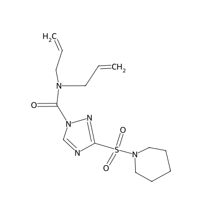 C=CCN(CC=C)C(=O)n1cnc(S(=O)(=O)N2CCCCC2)n1